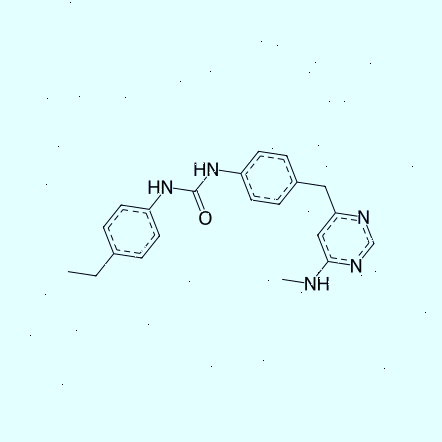 CCc1ccc(NC(=O)Nc2ccc(Cc3cc(NC)ncn3)cc2)cc1